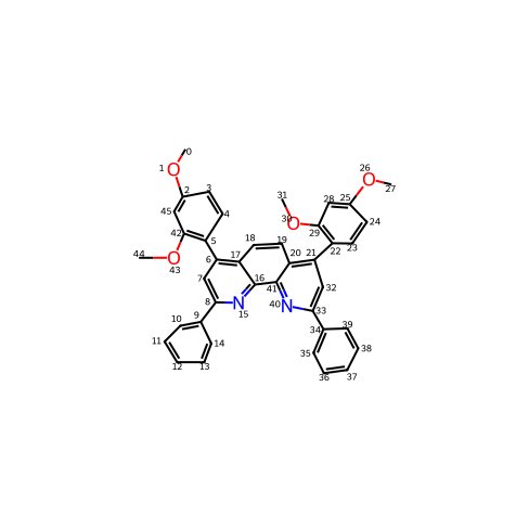 COc1ccc(-c2cc(-c3ccccc3)nc3c2ccc2c(-c4ccc(OC)cc4OC)cc(-c4ccccc4)nc23)c(OC)c1